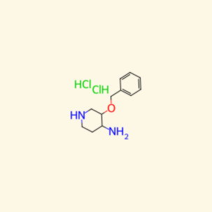 Cl.Cl.NC1CCNCC1OCc1ccccc1